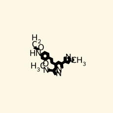 C=CC(=O)Nc1ccc(/C=C/c2cc(-c3cnn(C)c3)cn3ncc(C#N)c23)c(OC)c1